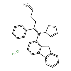 C=CCC[C](c1ccccc1)=[Hf+2]([c]1cccc2c1Cc1ccccc1-2)[CH]1C=CC=C1.[Cl-].[Cl-]